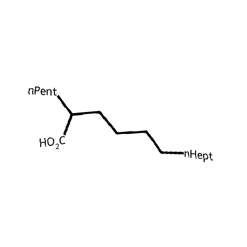 CCCCCCCCCCCC(CCCCC)C(=O)O